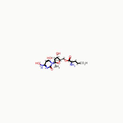 B[C@@]1(n2ccc(NO)nc2=O)O[C@H](COC(=O)[C@H](N)CCC(=O)O)[C@@H](O)[C@H]1O